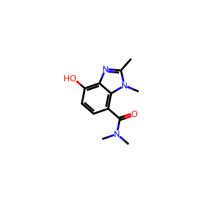 Cc1nc2c(O)ccc(C(=O)N(C)C)c2n1C